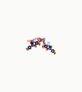 COc1ccc(C2=CN3C(=O)c4cc(OC)c(OCCCP(=O)(CCCO)CCCOc5cc6c(cc5OC)C(=O)N5C=C(c7ccc(OC)cc7)C[C@H]5C(S(=O)(=O)O)N6)cc4NC[C@@H]3C2)cc1